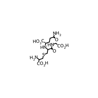 NC(=O)CC[C@@H](NC(CSCC(N)C(=O)O)C(=O)NCC(=O)O)C(=O)O